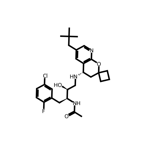 CC(=O)N[C@@H](Cc1cc(Cl)ccc1F)[C@@H](O)CN[C@H]1CC2(CCC2)Oc2ncc(CC(C)(C)C)cc21